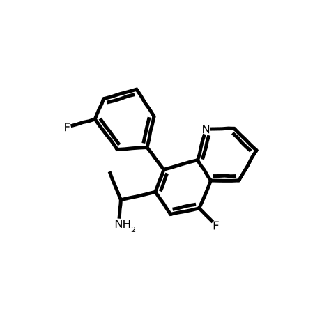 CC(N)c1cc(F)c2cccnc2c1-c1cccc(F)c1